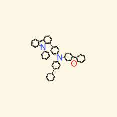 c1ccc(-c2ccc(N(c3ccc(-c4cccc5c6ccccc6n(-c6ccccc6)c45)cc3)c3ccc4c(c3)oc3ccccc34)cc2)cc1